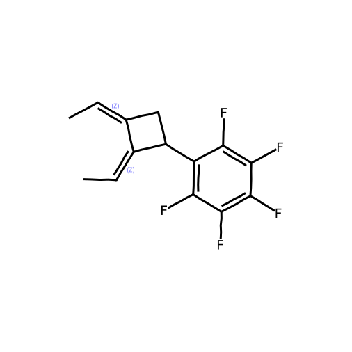 C/C=C1/CC(c2c(F)c(F)c(F)c(F)c2F)/C1=C/C